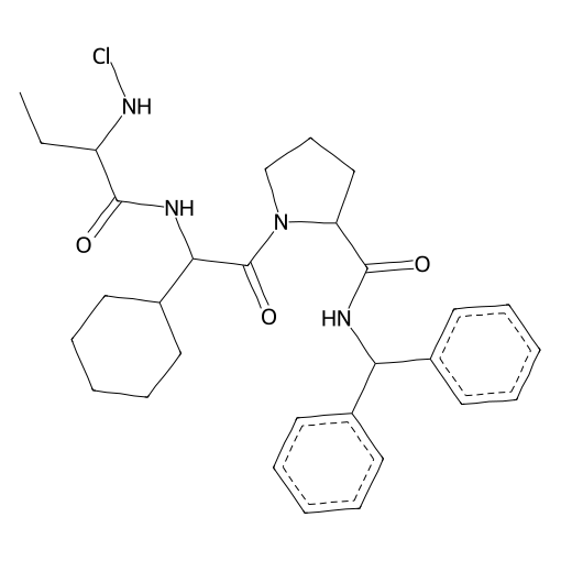 CCC(NCl)C(=O)NC(C(=O)N1CCCC1C(=O)NC(c1ccccc1)c1ccccc1)C1CCCCC1